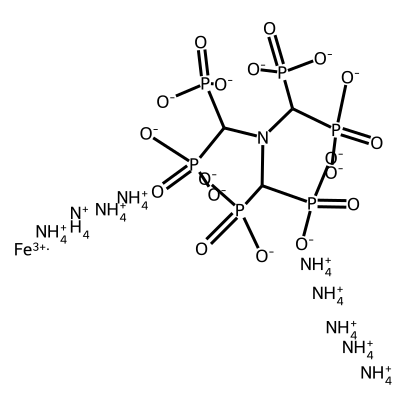 O=P([O-])([O-])C(N(C(P(=O)([O-])[O-])P(=O)([O-])[O-])C(P(=O)([O-])[O-])P(=O)([O-])[O-])P(=O)([O-])[O-].[Fe+3].[NH4+].[NH4+].[NH4+].[NH4+].[NH4+].[NH4+].[NH4+].[NH4+].[NH4+]